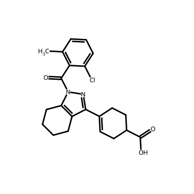 Cc1cccc(Cl)c1C(=O)n1nc(C2=CCC(C(=O)O)CC2)c2c1CCCC2